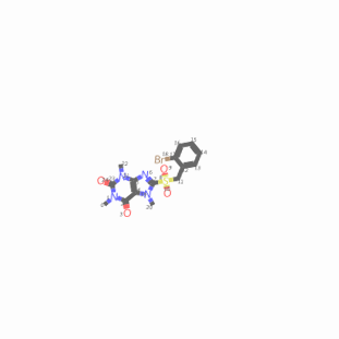 Cn1c(=O)c2c(nc(S(=O)(=O)Cc3ccccc3Br)n2C)n(C)c1=O